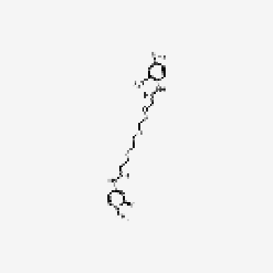 Cn1ccc(NNCCOCCOCCOCNNc2ccc([N+](=O)[O-])cc2[N+](=O)[O-])nc1=O